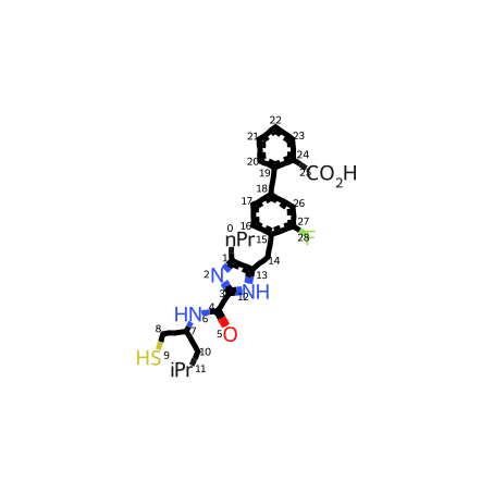 CCCc1nc(C(=O)NC(CS)CC(C)C)[nH]c1Cc1ccc(-c2ccccc2C(=O)O)cc1F